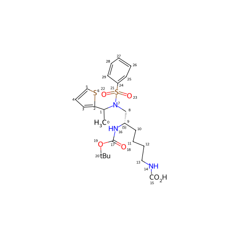 CC(c1cccs1)N(C[C@H](CCCCNC(=O)O)NC(=O)OC(C)(C)C)S(=O)(=O)c1ccccc1